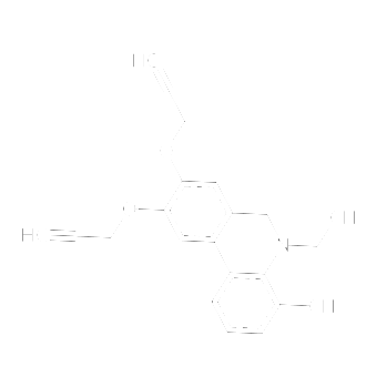 C#CCOc1cc2c(cc1OCC#C)-c1cccc(C)c1N(CC)C2